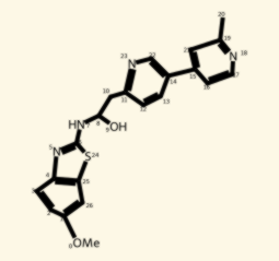 COc1ccc2nc(NC(O)Cc3ccc(-c4ccnc(C)c4)cn3)sc2c1